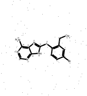 CCc1cc(Br)ccc1Sc1nc2c(N)ncnc2[nH]1